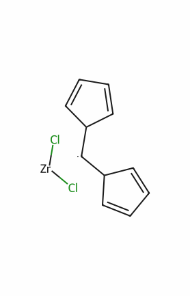 [CH](C1C=CC=C1)C1C=CC=C1.[Cl][Zr][Cl]